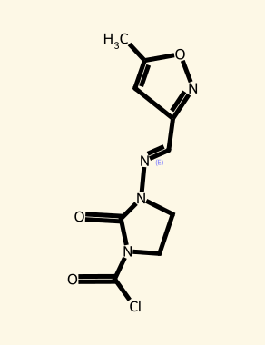 Cc1cc(/C=N/N2CCN(C(=O)Cl)C2=O)no1